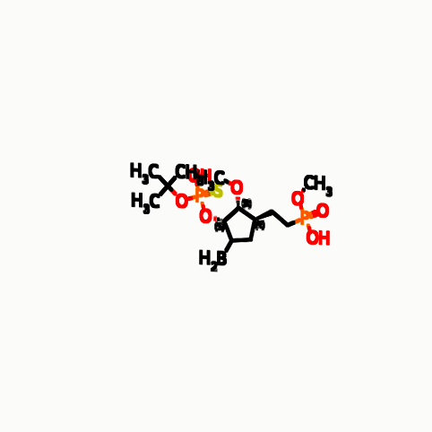 BC1C[C@H](CCP(=O)(O)OC)[C@@H](OC)[C@H]1OP(O)(=S)OC(C)(C)C